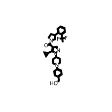 CC(F)(F)c1ccccc1C1CCN(C(=O)c2cnn(C3CCN(c4ccc(CO)cc4)CC3)c2C2CC2)C1